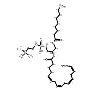 CCCCC/C=C\C/C=C\C/C=C\C/C=C\CCCC(=O)O[C@H](COC(=O)CCCCCCCCCCCCCCCCC)COP(=O)(O)OCC[N+](C)(C)C